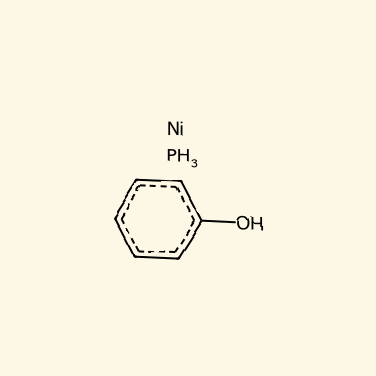 Oc1ccccc1.P.[Ni]